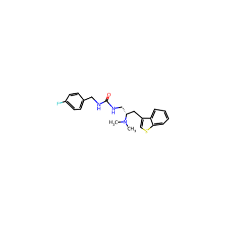 CN(C)[C@H](CNC(=O)NCc1ccc(F)cc1)Cc1csc2ccccc12